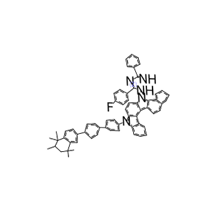 CC1CC(C)(C)c2cc(-c3ccc(-c4ccc(-n5c6ccccc6c6c7c8ccc9ccccc9c8n(N/C(=N\C(=N)c8ccccc8)c8ccc(F)cc8)c7ccc65)cc4)cc3)ccc2C1(C)C